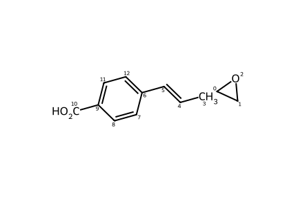 C1CO1.CC=Cc1ccc(C(=O)O)cc1